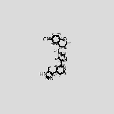 Cc1[nH]nnc1-c1ccnc(-c2cn(C[C@H]3CCOc4ccc(Cl)cc43)cn2)c1